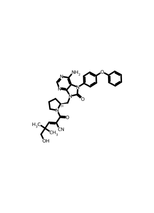 CC(C)(C=C(C#N)C(=O)N1CCC[C@H]1Cn1c(=O)n(-c2ccc(Oc3ccccc3)cc2)c2c(N)ncnc21)CO